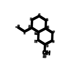 [CH2]CC1CCCC2CCC(O)CC12